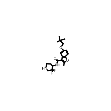 Cc1oc2ccc(OCC(C)(C)C)cc2c1C(=O)NC1CCNCC1(F)F